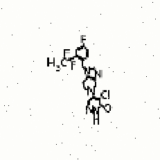 CC(F)(F)c1cc(F)ccc1Cn1cnc2c1CCN(c1cn[nH]c(=O)c1Cl)C2